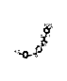 CCc1ccc(COC(=O)N2CCN(c3nc(C(=O)Nc4ccc5[nH]nnc5c4)cs3)CC2)cc1